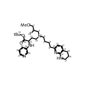 COCC(F)CN(CCCCc1ccc2c(n1)NCCC2)CCC(Nc1cccnc1)C(=O)OC(C)(C)C